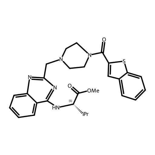 COC(=O)[C@@H](Nc1nc(CN2CCN(C(=O)c3cc4ccccc4s3)CC2)nc2ccccc12)C(C)C